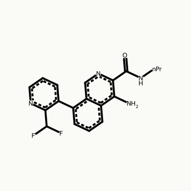 CCCNC(=O)c1ncc2c(-c3cccnc3C(F)F)cccc2c1N